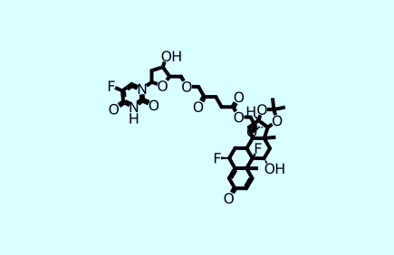 CC1(C)O[C@@H]2CC3C4C[C@H](F)C5=CC(=O)C=CC5(C)[C@@]4(F)[C@@H](O)CC3(C)[C@]2(C(=O)COC(=O)CCC(=O)COCC2OC(n3cc(F)c(=O)[nH]c3=O)CC2O)O1